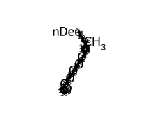 CCCCCCCCCCCCCCC(C)c1ccc(COCCOCCOCCOCCOC2CCCCO2)cc1